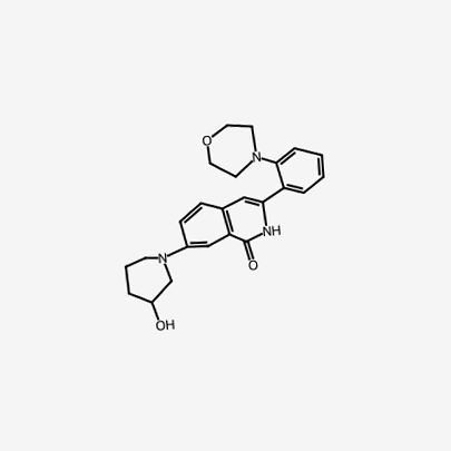 O=c1[nH]c(-c2ccccc2N2CCOCC2)cc2ccc(N3CCCC(O)C3)cc12